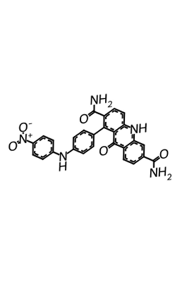 NC(=O)c1ccc2c(=O)c3c(-c4ccc(Nc5ccc([N+](=O)[O-])cc5)cc4)c(C(N)=O)ccc3[nH]c2c1